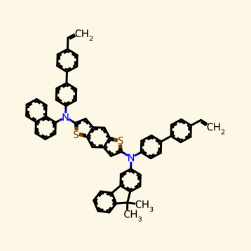 C=Cc1ccc(-c2ccc(N(c3ccc4c(c3)-c3ccccc3C4(C)C)c3cc4cc5sc(N(c6ccc(-c7ccc(C=C)cc7)cc6)c6cccc7ccccc67)cc5cc4s3)cc2)cc1